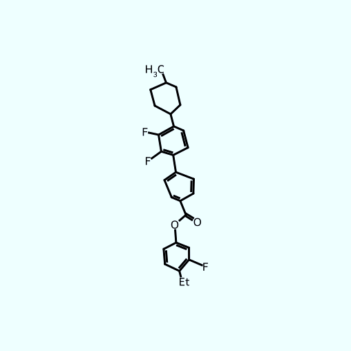 CCc1ccc(OC(=O)c2ccc(-c3ccc(C4CCC(C)CC4)c(F)c3F)cc2)cc1F